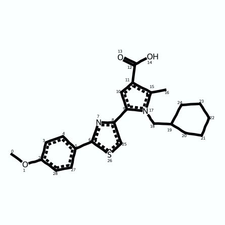 COc1ccc(-c2nc(-c3cc(C(=O)O)c(C)n3CC3CCCCC3)cs2)cc1